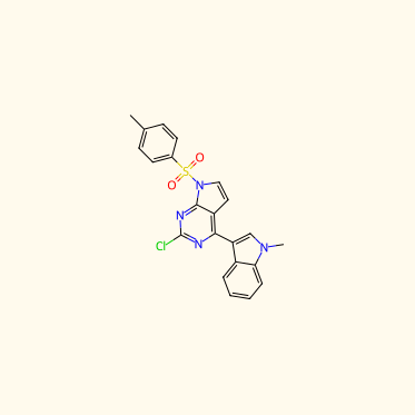 Cc1ccc(S(=O)(=O)n2ccc3c(-c4cn(C)c5ccccc45)nc(Cl)nc32)cc1